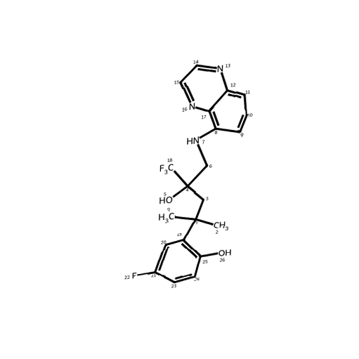 CC(C)(CC(O)(CNc1cccc2nccnc12)C(F)(F)F)c1cc(F)ccc1O